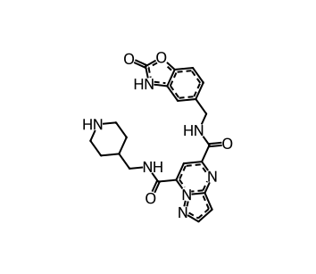 O=C(NCc1ccc2oc(=O)[nH]c2c1)c1cc(C(=O)NCC2CCNCC2)n2nccc2n1